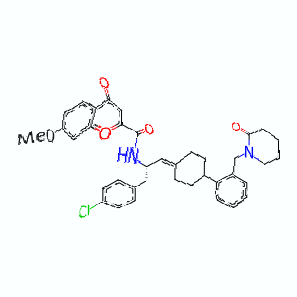 COc1ccc2c(=O)cc(C(=O)N[C@H](C=C3CCC(c4ccccc4CN4CCCCC4=O)CC3)Cc3ccc(Cl)cc3)oc2c1